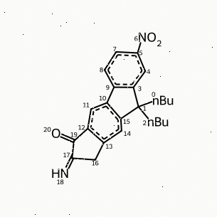 CCCCC1(CCCC)c2cc([N+](=O)[O-])ccc2-c2cc3c(cc21)CC(=N)C3=O